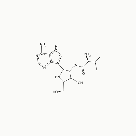 CC(C)[C@H](N)C(=O)OC1C(c2c[nH]c3c(N)ncnc23)NC(CO)C1O